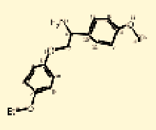 CCOc1ccc(OCC(N)c2ccc(OC(C)C)cc2)cc1